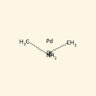 CCCCCCCCCCCCCCCCCC(N)OC(=O)CCCCCCCCCCCCCCC.[Pd]